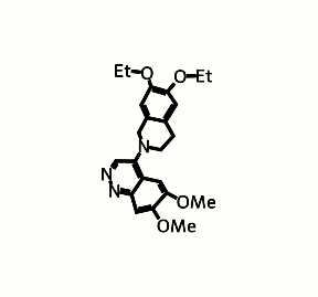 CCOc1cc2c(cc1OCC)CN(c1cnnc3cc(OC)c(OC)cc13)CC2